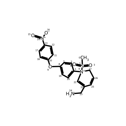 CS(=O)(=O)[N+]1(c2ccc(Oc3ccc([N+](=O)[O-])cc3)cc2)C=C(CN)C=CC1